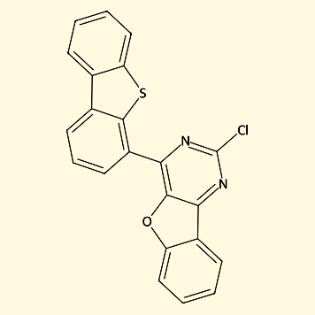 Clc1nc(-c2cccc3c2sc2ccccc23)c2oc3ccccc3c2n1